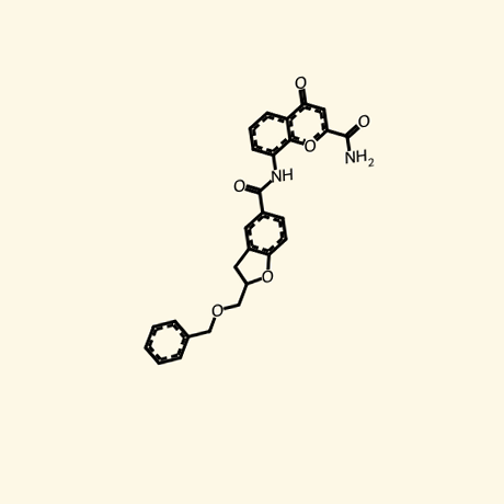 NC(=O)c1cc(=O)c2cccc(NC(=O)c3ccc4c(c3)CC(COCc3ccccc3)O4)c2o1